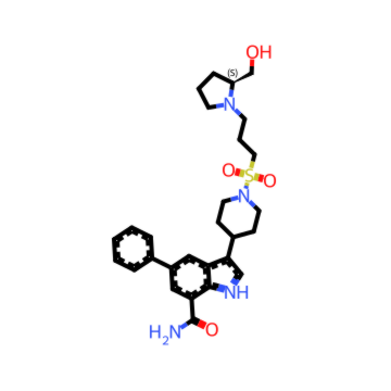 NC(=O)c1cc(-c2ccccc2)cc2c(C3CCN(S(=O)(=O)CCCN4CCC[C@H]4CO)CC3)c[nH]c12